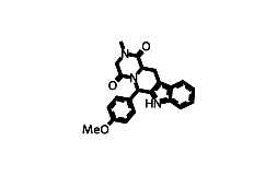 COc1ccc(C2c3[nH]c4ccccc4c3CC3C(=O)N(C)CC(=O)N32)cc1